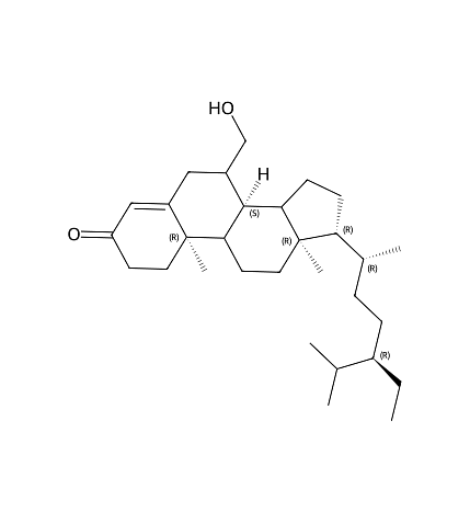 CC[C@H](CC[C@@H](C)[C@H]1CCC2[C@@H]3C(CO)CC4=CC(=O)CC[C@]4(C)C3CC[C@@]21C)C(C)C